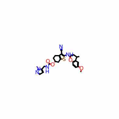 COc1cccc(C(C)CC(=O)Nc2sc3c(c2C#N)CCC(OC(=O)NCc2ccnn2C)C3)c1